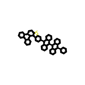 c1ccc(-c2c3ccccc3c(-c3c4ccccc4c(-c4ccc5c(c4)sc4ccc6c7ccccc7c7ccccc7c6c45)c4ccccc34)c3ccccc23)cc1